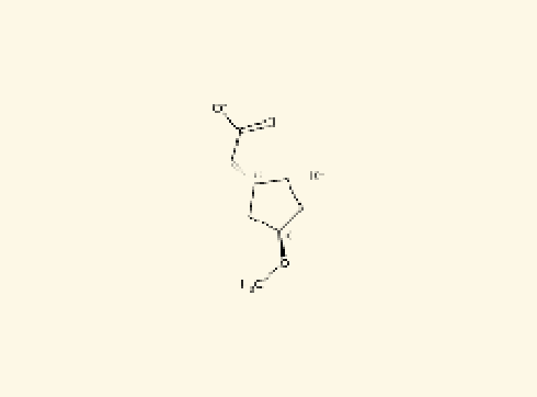 CO[C@@H]1CC[C@@H](CC(=O)[O-])C1.[K+]